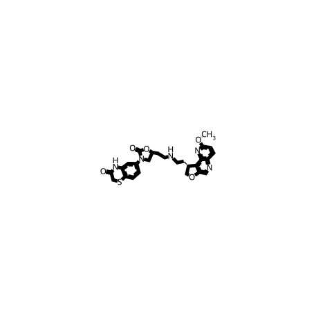 COc1ccc2ncc3c(c2n1)[C@@H](CCNCCC1CN(c2ccc4c(c2)NC(=O)CS4)C(=O)O1)CO3